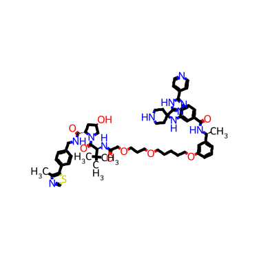 Cc1ncsc1-c1ccc(CNC(=O)[C@@H]2C[C@@H](O)CN2C(=O)[C@@H](NC(=O)COCCCOCCCCCOc2cccc([C@@H](C)NC(=O)c3cccc(NC4(c5nnc(-c6ccncc6)[nH]5)CCNCC4)c3)c2)C(C)(C)C)cc1